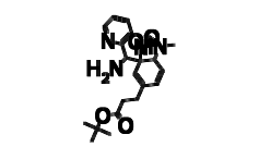 CNC1C=CC(CCC(=O)OC(C)(C)C)=CC1(C(N)c1ccccn1)[N+](=O)[O-]